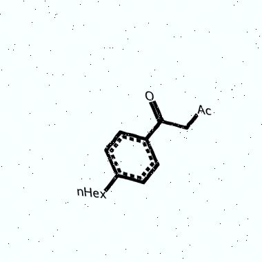 CCCCCCc1ccc(C(=O)CC(C)=O)cc1